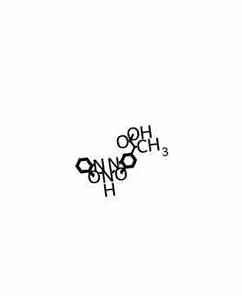 CC(C(=O)O)c1ccc2oc(Nc3nc4ccccc4o3)nc2c1